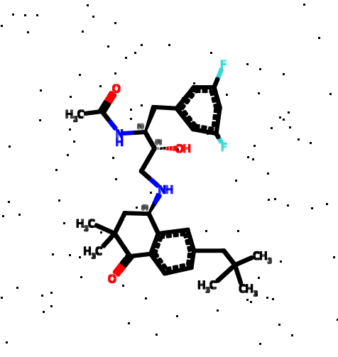 CC(=O)N[C@@H](Cc1cc(F)cc(F)c1)[C@H](O)CN[C@@H]1CC(C)(C)C(=O)c2ccc(CC(C)(C)C)cc21